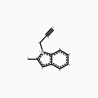 C#CCn1c(C)cc2ccccc21